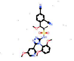 COc1cncc(-c2nnc(NS(=O)(=O)[C@H](C)[C@@H](OC)c3ccc(C#N)cc3C#N)n2-c2c(OC)cccc2OC)c1